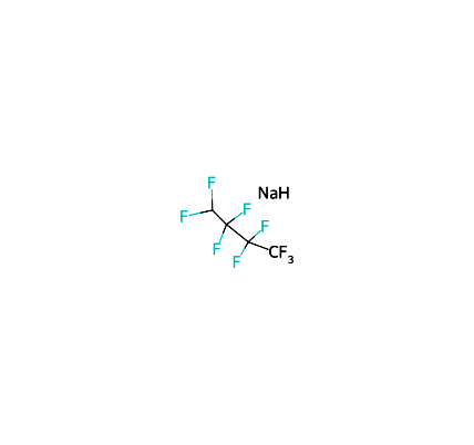 FC(F)C(F)(F)C(F)(F)C(F)(F)F.[NaH]